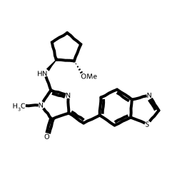 CO[C@H]1CCC[C@@H]1NC1=N/C(=C\c2ccc3ncsc3c2)C(=O)N1C